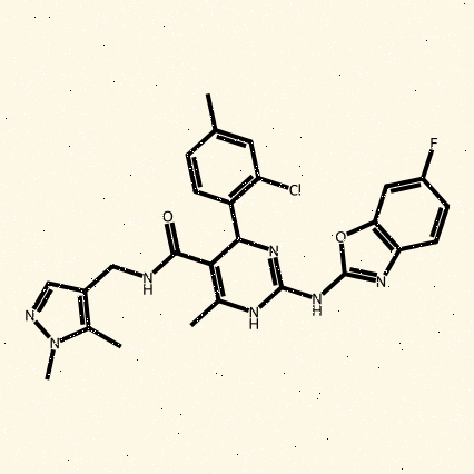 CC1=C(C(=O)NCc2cnn(C)c2C)C(c2ccc(C)cc2Cl)N=C(Nc2nc3ccc(F)cc3o2)N1